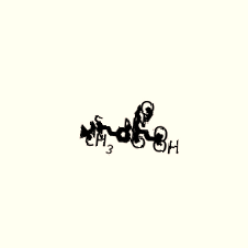 CC1(c2csc(CCc3ccn4c(=O)c(C=CC(=O)O)c(N5CCOCC5)nc4c3)n2)CC1